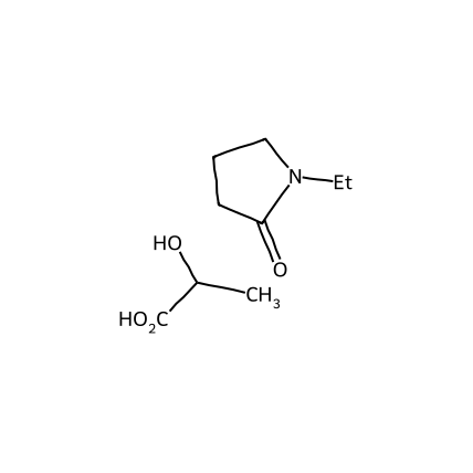 CC(O)C(=O)O.CCN1CCCC1=O